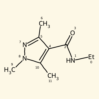 CCNC(=O)c1c(C)nn(C)c1C